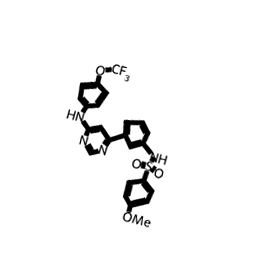 COc1ccc(S(=O)(=O)Nc2cccc(-c3cc(Nc4ccc(OC(F)(F)F)cc4)ncn3)c2)cc1